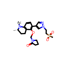 CC(=O)N1c2ccc(-c3cnn(CCS(C)(=O)=O)c3)c(OCN3CCCC3=O)c2CC[C@@H]1C